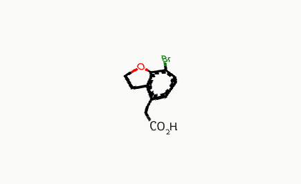 O=C(O)Cc1ccc(Br)c2c1CCO2